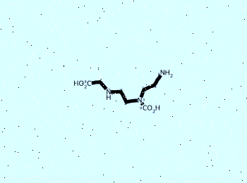 NCCN(CCNCC(=O)O)C(=O)O